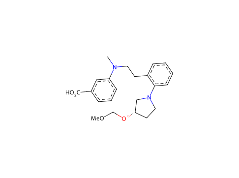 COCO[C@H]1CCN(c2ccccc2CCN(C)c2cccc(C(=O)O)c2)C1